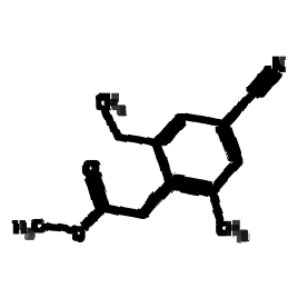 CCc1cc(C#N)cc(C)c1CC(=O)OC